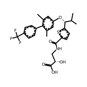 Cc1cc(O[C@@H](c2ccc(C(=O)NC[C@H](O)C(=O)O)s2)C(C)C)cc(C)c1-c1ccc(C(F)(F)F)cc1